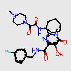 CN1CCN(C(=O)C(=O)NC23CCC(CC2)Cn2c3nc(C(=O)NCc3ccc(F)cc3)c(O)c2=O)CC1